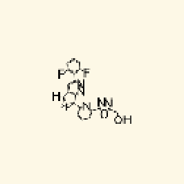 CC1(C)[C@H]2CC[C@@]1(c1cccc(-c3nnc(CO)o3)n1)c1nnc(-c3c(F)cccc3F)cc12